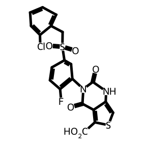 O=C(O)c1scc2[nH]c(=O)n(-c3cc(S(=O)(=O)Cc4ccccc4Cl)ccc3F)c(=O)c12